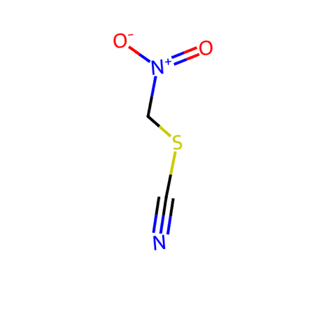 N#CSC[N+](=O)[O-]